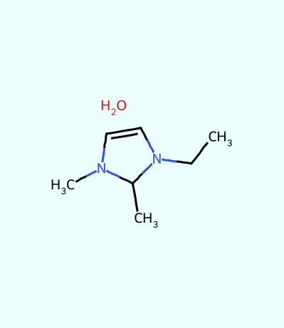 CCN1C=CN(C)C1C.O